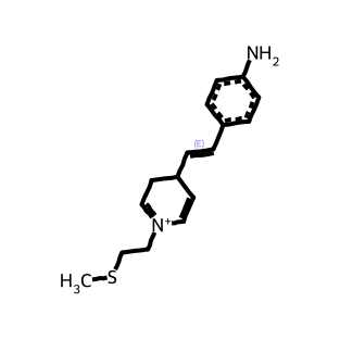 CSCC[N+]1=CCC(/C=C/c2ccc(N)cc2)C=C1